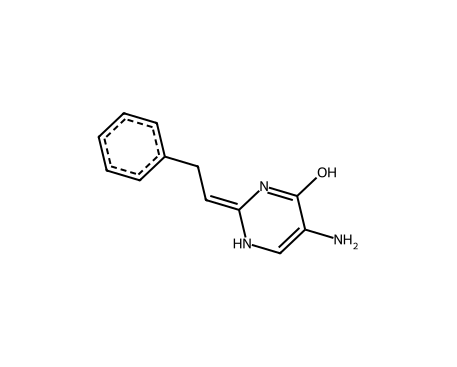 NC1=CNC(=CCc2ccccc2)N=C1O